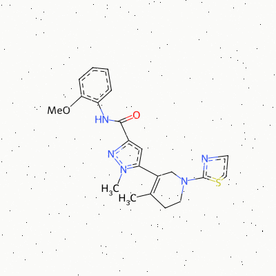 COc1ccccc1NC(=O)c1cc(C2=C(C)CCN(c3nccs3)C2)n(C)n1